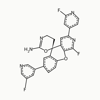 NC1=NCC[C@]2(O1)c1cc(-c3cncc(F)c3)ccc1Oc1c2cc(-c2ccnc(F)c2)nc1F